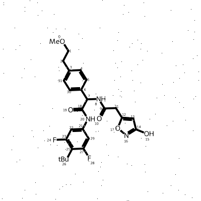 COCCc1ccc(C(NC(=O)Cc2cc(O)no2)C(=O)Nc2cc(F)c(C(C)(C)C)c(F)c2)cc1